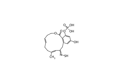 C/C1=C\C(=NS)Cc2cc(O)cc(OP(=O)(O)O)c2C(=O)OCC/C=C/CC1